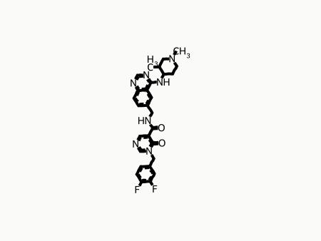 CC1CN(C)CCC1Nc1ncnc2ccc(CNC(=O)c3cncn(Cc4ccc(F)c(F)c4)c3=O)cc12